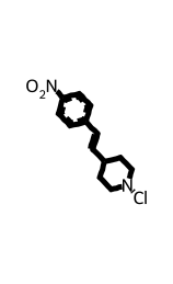 O=[N+]([O-])c1ccc(/C=C/C2CCN(Cl)CC2)cc1